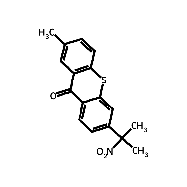 Cc1ccc2sc3cc(C(C)(C)[N+](=O)[O-])ccc3c(=O)c2c1